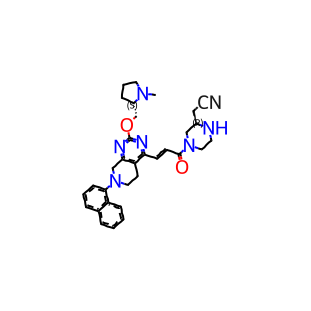 CN1CCC[C@H]1COc1nc(C=CC(=O)N2CCN[C@H](CC#N)C2)c2c(n1)CN(c1cccc3ccccc13)CC2